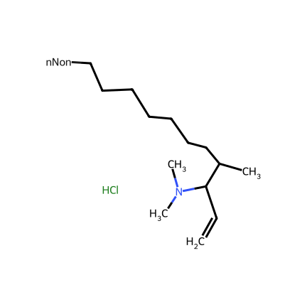 C=CC(C(C)CCCCCCCCCCCCCCCC)N(C)C.Cl